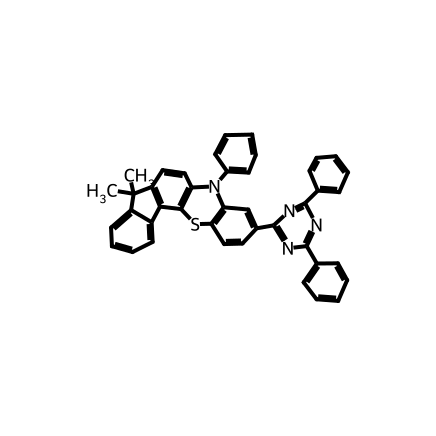 CC1(C)c2ccccc2-c2c1ccc1c2Sc2ccc(-c3nc(-c4ccccc4)nc(-c4ccccc4)n3)cc2N1c1ccccc1